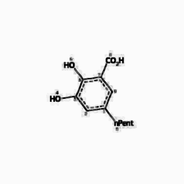 CCCCCc1cc(O)c(O)c(C(=O)O)c1